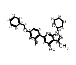 CC(=O)c1cc(-c2ccc(OCc3ccccc3)cc2F)nc2c1c(C)nn2C1CCCCO1